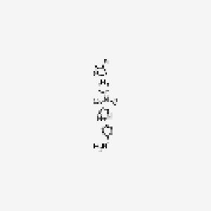 CCc1noc(N2CCC(N(C(=O)c3cnc(-c4ccc(CN)cc4)nc3)C3CC3)CC2)n1